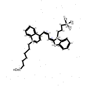 CCCCCCCCCCCCCCCC[n+]1ccc(/C=C\C=C2\Oc3ccccc3N2CCC[N+](CC)(CC)CC)c2ccccc21